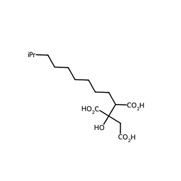 CC(C)CCCCCCCC(C(=O)O)C(O)(CC(=O)O)C(=O)O